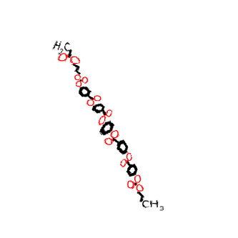 C=CC(=O)OCCCCOC(=O)Oc1ccc(C(=O)Oc2ccc(C(=O)Oc3ccc(OC(=O)c4ccc(OC(=O)c5ccc(OC(=O)OCCCC)cc5)cc4)cc3)cc2)cc1